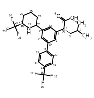 CC(C)C[C@@H](C(=O)O)c1cc(-c2ccc(C(F)(F)F)cc2)cc(C2CCC[C@H](C(F)(F)F)N2)c1